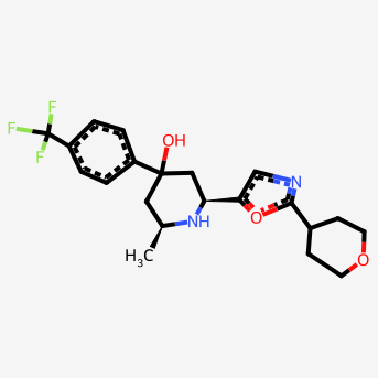 C[C@H]1CC(O)(c2ccc(C(F)(F)F)cc2)C[C@@H](c2cnc(C3CCOCC3)o2)N1